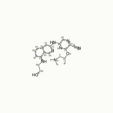 CC(CN(C)C)Oc1nc(Nc2cc3cccc(NCCO)c3cn2)cnc1C#N